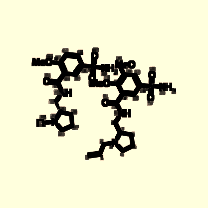 C=CCN1CCCC1CNC(=O)c1cc(S(N)(=O)=O)cc(OC)c1OC.CCN1CCC[C@H]1CNC(=O)c1cc(S(N)(=O)=O)ccc1OC